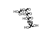 O=CC(=O)O.O=CC(=O)O.O=CC(=O)O.O=CC(=O)O.OCC(CO)(CO)CO